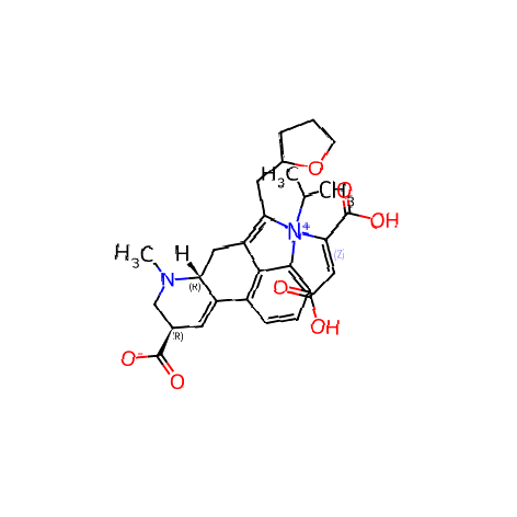 CC(C)[N+]1(/C(=C\C(=O)O)C(=O)O)C(CC2CCCO2)=C2C[C@@H]3C(=C[C@@H](C(=O)[O-])CN3C)c3cccc1c32